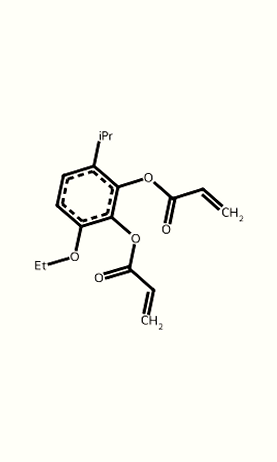 C=CC(=O)Oc1c(OCC)ccc(C(C)C)c1OC(=O)C=C